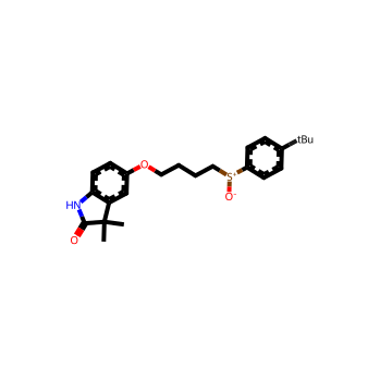 CC(C)(C)c1ccc([S+]([O-])CCCCOc2ccc3c(c2)C(C)(C)C(=O)N3)cc1